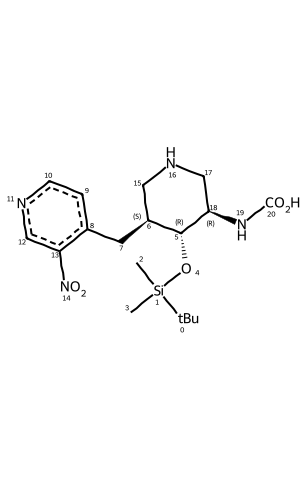 CC(C)(C)[Si](C)(C)O[C@@H]1[C@@H](Cc2ccncc2[N+](=O)[O-])CNC[C@H]1NC(=O)O